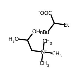 CC(O)C[N+](C)(C)C.CCCCC(CC)C(=O)[O-]